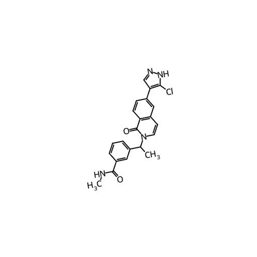 CNC(=O)c1cccc(C(C)n2ccc3cc(-c4cn[nH]c4Cl)ccc3c2=O)c1